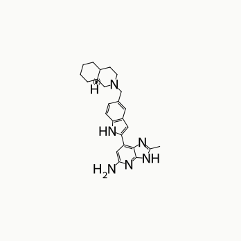 Cc1nc2c(-c3cc4cc(CN5CCC6CCCC[C@H]6C5)ccc4[nH]3)cc(N)nc2[nH]1